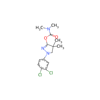 CN(C)C(=O)OC1=NN(c2ccc(Cl)c(Cl)c2)CC1(C)C